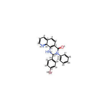 O=C1c2ccc3cccnc3c2NC(c2ccc(Br)cc2)N1c1ccccc1